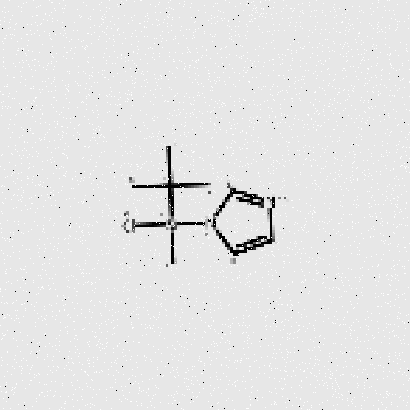 CC(C)(C)[Si](C)(Cl)n1ccnc1